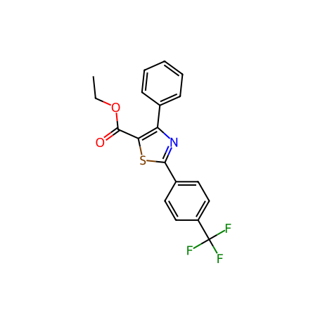 CCOC(=O)c1sc(-c2ccc(C(F)(F)F)cc2)nc1-c1ccccc1